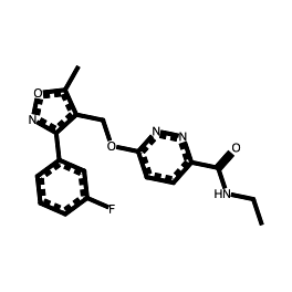 CCNC(=O)c1ccc(OCc2c(-c3cccc(F)c3)noc2C)nn1